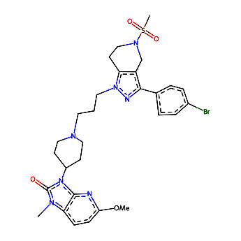 COc1ccc2c(n1)n(C1CCN(CCCn3nc(-c4ccc(Br)cc4)c4c3CCN(S(C)(=O)=O)C4)CC1)c(=O)n2C